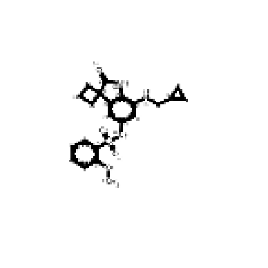 COc1ccccc1S(=O)(=O)Nc1cc(NCC2CC2)c2c(c1)C1(CCC1)C(=O)N2